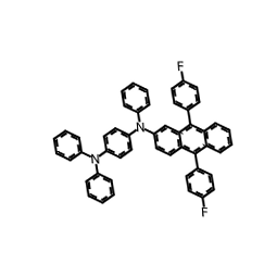 Fc1ccc(-c2c3ccccc3c(-c3ccc(F)cc3)c3cc(N(c4ccccc4)c4ccc(N(c5ccccc5)c5ccccc5)cc4)ccc23)cc1